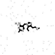 CCc1c(CCOC)sc[n+]1Cc1cnc(C)nc1N